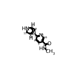 CNC(=O)c1ccc(N2C[C@H]3C[C@@H]2CN3)nc1